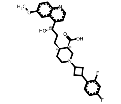 COc1ccc2nccc([C@@H](O)CC[C@@H]3CCN(C4CC(c5ccc(F)cc5F)C4)C[C@@H]3C(=O)O)c2c1